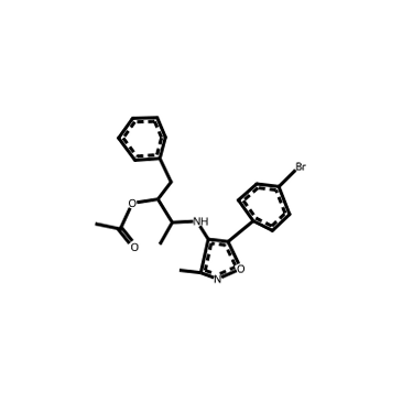 CC(=O)OC(Cc1ccccc1)C(C)Nc1c(C)noc1-c1ccc(Br)cc1